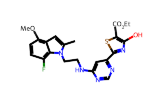 CCOC(=O)c1sc(-c2cc(NCCn3c(C)cc4c(OC)ccc(F)c43)ncn2)nc1O